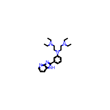 CCN(CC)CCN(CCN(CC)CC)c1cccc(-c2nc3ncccc3[nH]2)c1